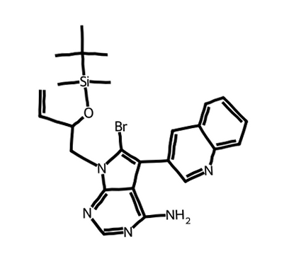 C=CC(Cn1c(Br)c(-c2cnc3ccccc3c2)c2c(N)ncnc21)O[Si](C)(C)C(C)(C)C